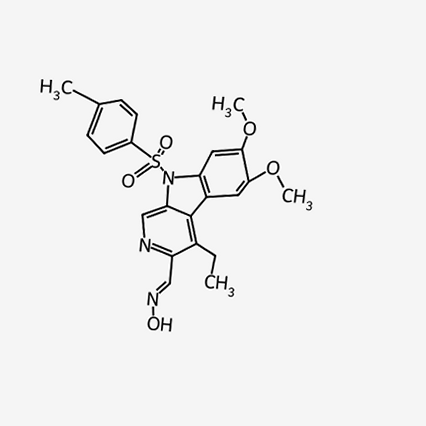 CCc1c(C=NO)ncc2c1c1cc(OC)c(OC)cc1n2S(=O)(=O)c1ccc(C)cc1